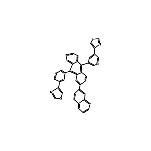 c1ccc2cc(-c3ccc4c(-c5cncc(-c6cscn6)c5)c5ccccc5c(-c5cncc(-c6cscn6)c5)c4c3)ccc2c1